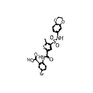 Cc1sc(C(=O)Nc2ccc(Br)cc2C(=O)O)cc1S(=O)(=O)Nc1ccc2c(c1)OCCO2